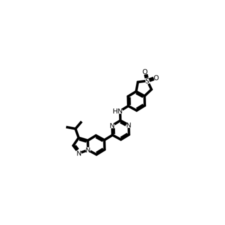 CC(C)c1cnn2ccc(-c3ccnc(Nc4ccc5c(c4)CS(=O)(=O)C5)n3)cc12